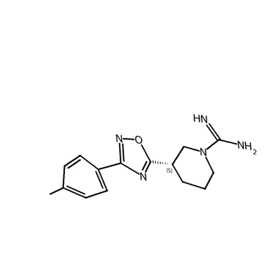 Cc1ccc(-c2noc([C@H]3CCCN(C(=N)N)C3)n2)cc1